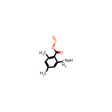 Cc1cc(C)c(C(=O)OP=O)c(C)c1.[NaH]